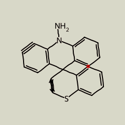 NN1c2c#cccc2C2(c3ccccc3Sc3ccccc32)c2ccccc21